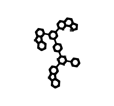 c1ccc(-c2nc(-c3ccc(-c4cc(-c5ccc6ccc7cc[nH]c7c6n5)cc(-c5cccc6oc7ccccc7c56)c4)cc3)nc(-c3ccc4sc5ccccc5c4c3)n2)cc1